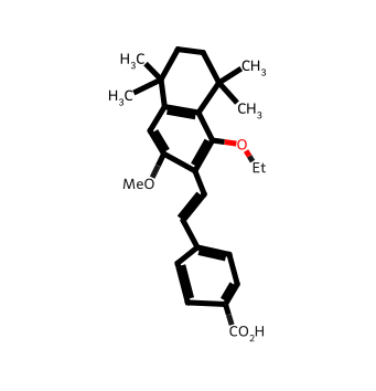 CCOc1c(C=Cc2ccc(C(=O)O)cc2)c(OC)cc2c1C(C)(C)CCC2(C)C